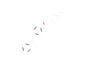 COc1cc(C(=O)N[C@H]2[C@@H](OC)O[C@H](CO)[C@@H](O)[C@@H]2O)cc(Cl)c1OCc1ccccc1